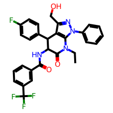 CCN1C(=O)C(NC(=O)c2cccc(C(F)(F)F)c2)C(c2ccc(F)cc2)c2c(CO)nn(-c3ccccc3)c21